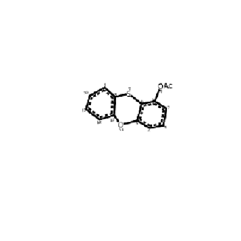 CC(=O)Oc1cccc2c1Sc1ccccc1O2